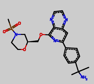 CC(C)(N)c1ccc(-c2cc3nccnc3c(OC[C@@H]3CN(S(C)(=O)=O)CCO3)n2)cc1